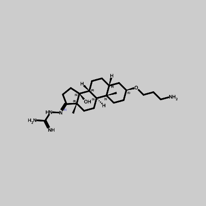 C[C@]12CC[C@H](OCCCN)C[C@H]1CC[C@@H]1[C@@H]2CC[C@]2(C)/C(=N/NC(=N)N)CC[C@]12O